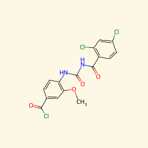 COc1cc(C(=O)Cl)ccc1NC(=O)NC(=O)c1ccc(Cl)cc1Cl